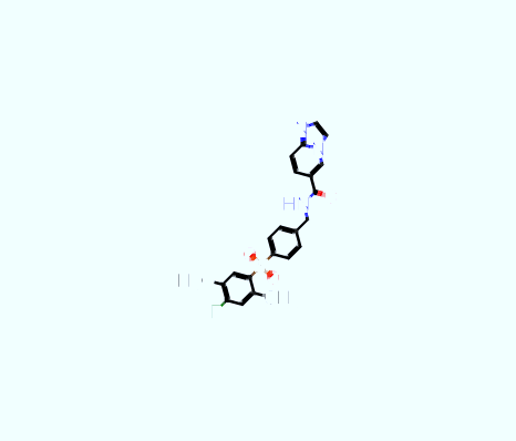 Cc1cc(S(=O)(=O)c2ccc(CNC(=O)c3ccc4nccn4c3)cc2)c(C)cc1F